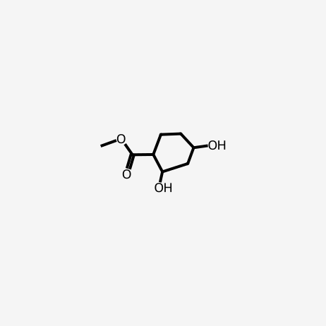 COC(=O)C1CCC(O)CC1O